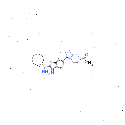 CC(=O)N1CCn2c(nnc2-c2ccc3[nH]c(C(N)C4CCCCCCC4)nc3c2F)C1